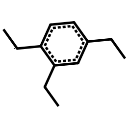 C[CH]c1ccc(CC)cc1CC